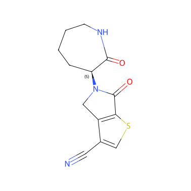 N#Cc1csc2c1CN([C@H]1CCCCNC1=O)C2=O